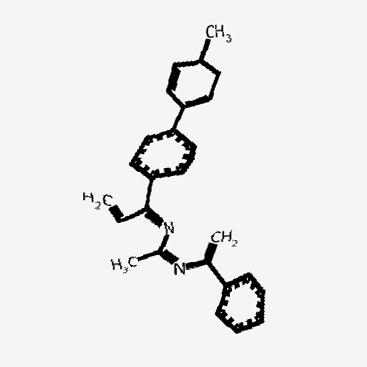 C=C/C(=N\C(C)=N/C(=C)c1ccccc1)c1ccc(C2=CCC(C)C=C2)cc1